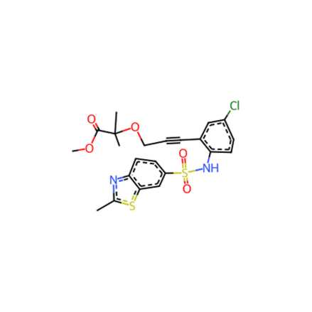 COC(=O)C(C)(C)OCC#Cc1cc(Cl)ccc1NS(=O)(=O)c1ccc2nc(C)sc2c1